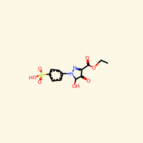 CCOC(=O)C1=NN(c2ccc(S(=O)(=O)O)cc2)C(O)C1=O